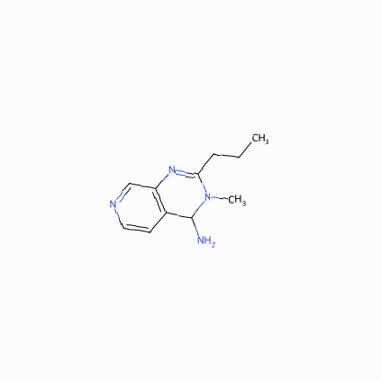 CCCC1=Nc2cnccc2C(N)N1C